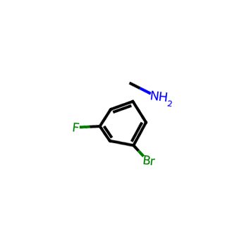 CN.Fc1cccc(Br)c1